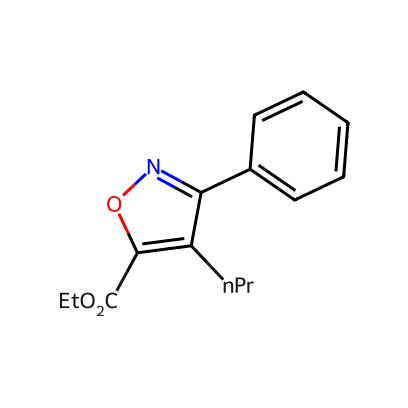 CCCc1c(-c2ccccc2)noc1C(=O)OCC